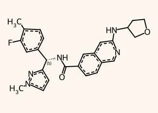 Cc1ccc([C@H](NC(=O)c2ccc3cnc(NC4CCOC4)cc3c2)c2ccn(C)n2)cc1F